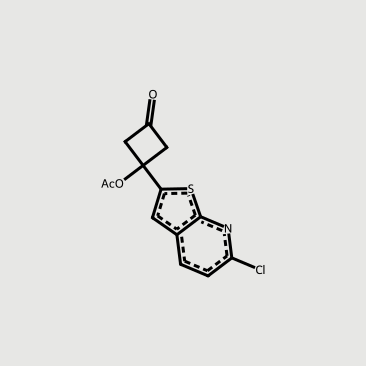 CC(=O)OC1(c2cc3ccc(Cl)nc3s2)CC(=O)C1